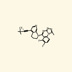 Cc1nnc2nc(N3CCCc4c(C#CC(C)(C)C(F)(F)F)cncc43)c3c(F)c(F)ccc3n12